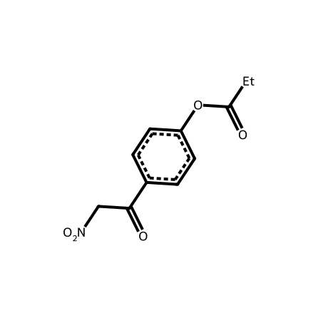 CCC(=O)Oc1ccc(C(=O)C[N+](=O)[O-])cc1